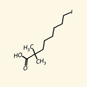 CC(C)(CCCCCCI)C(=O)O